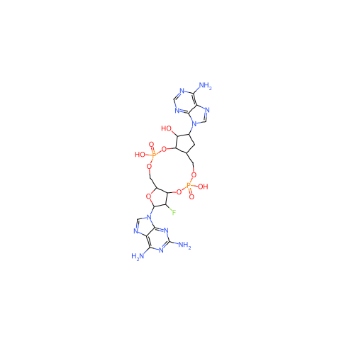 Nc1nc(N)c2ncn(C3OC4COP(=O)(O)OC5C(COP(=O)(O)OC4C3F)CC(n3cnc4c(N)ncnc43)C5O)c2n1